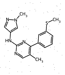 CSc1cccc(-c2nc(Nc3cnn(C)c3)ncc2C)c1